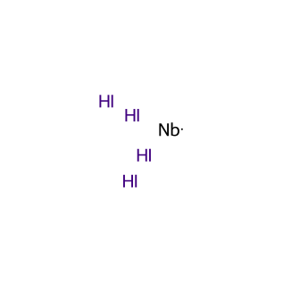 I.I.I.I.[Nb]